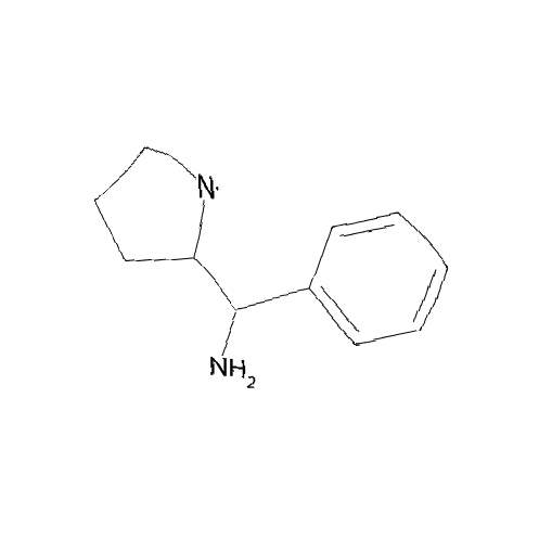 NC(c1ccccc1)C1CCC[N]1